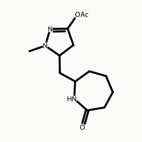 CC(=O)OC1=NN(C)C(CC2CCCCC(=O)N2)C1